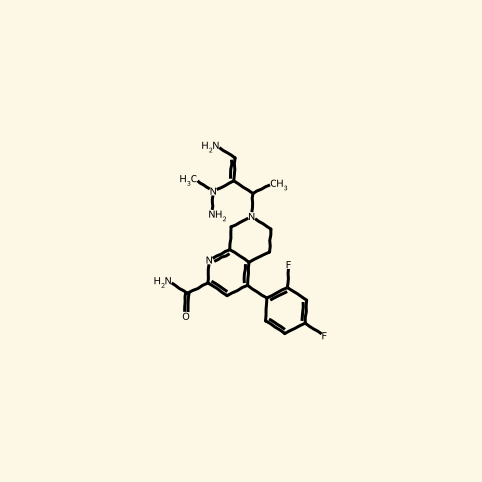 CC(/C(=C/N)N(C)N)N1CCc2c(-c3ccc(F)cc3F)cc(C(N)=O)nc2C1